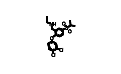 CCNCc1cc(S(=O)(=O)C(C)C)ccc1Oc1ccc(Cl)c(Cl)c1